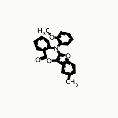 COc1ccccc1N1c2ccccc2C(=O)Oc2c1oc1ccc(C)cc21